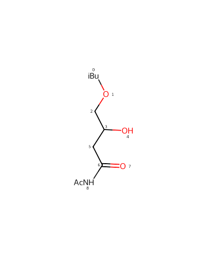 CCC(C)OCC(O)CC(=O)NC(C)=O